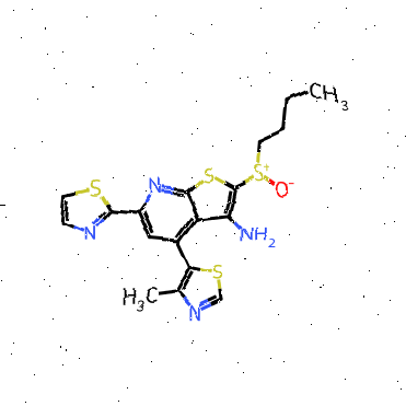 CCCC[S+]([O-])c1sc2nc(-c3nccs3)cc(-c3scnc3C)c2c1N